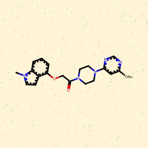 CC(C)COc1cc(N2CCN(C(=O)COc3cccc4c3ccn4C)CC2)ncn1